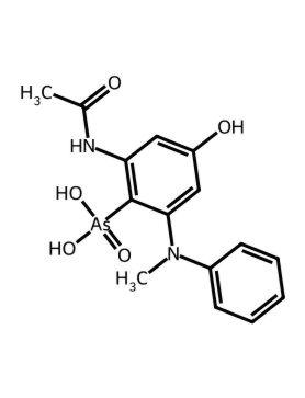 CC(=O)Nc1cc(O)cc(N(C)c2ccccc2)c1[As](=O)(O)O